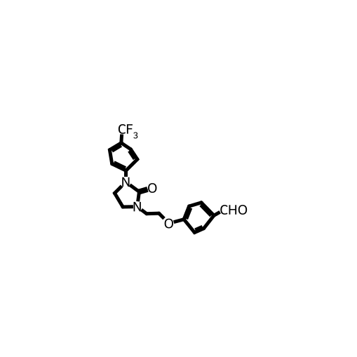 O=Cc1ccc(OCCN2CCN(c3ccc(C(F)(F)F)cc3)C2=O)cc1